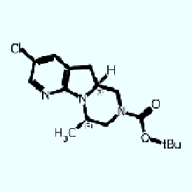 C[C@@H]1CN(C(=O)OC(C)(C)C)C[C@H]2Cc3cc(Cl)cnc3N21